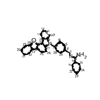 N/C(=N\Cc1ccc(-n2c3ccccc3c3c4oc5ccccc5c4ccc32)cc1)c1ccccc1